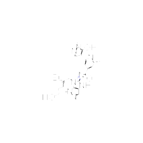 CC[C@H](CCCO)Cn1/c(=N/C(=O)c2cc(C)nc(-c3cnn(C)c3O)c2)[nH]c2cnn(C)c21